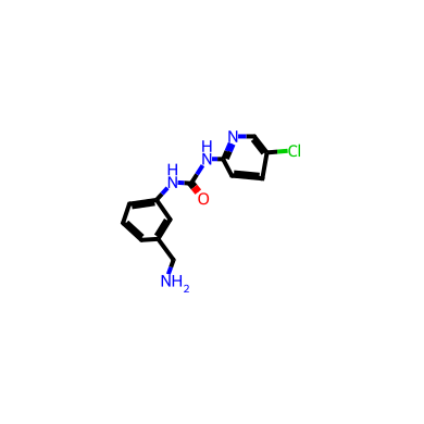 NCc1cccc(NC(=O)Nc2ccc(Cl)cn2)c1